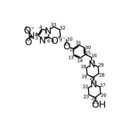 O=[N+]([O-])c1cn2c(n1)O[C@@H](COc1ccc(CN3CCC(N4CCC(O)CC4)CC3)cc1)CC2